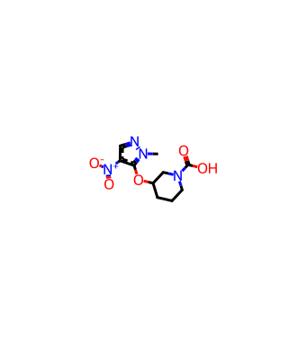 Cn1ncc([N+](=O)[O-])c1OC1CCCN(C(=O)O)C1